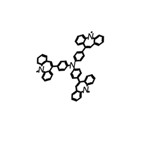 CN1C2=C(C=CCC2)C=C(c2ccc(N(c3ccc(C4=Cc5ccccc5N(C)c5ccccc54)cc3)c3ccc(C4=Cc5ccccc5N(C)c5ccccc54)cc3)cc2)c2ccccc21